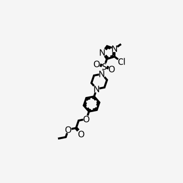 CCOC(=O)COc1ccc(N2CCN(S(=O)(=O)c3ncn(C)c3Cl)CC2)cc1